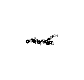 COC(=O)C(C)Cc1cccc(C(C)(CCCC(C)(C)CSCCO)c2nc(-c3cc(Oc4c(F)cc5c(c4Br)C=CN(c4ccccc4)S5)ccc3F)co2)c1